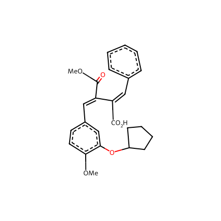 COC(=O)C(=C/c1ccc(OC)c(OC2CCCC2)c1)/C(=C\c1ccccc1)C(=O)O